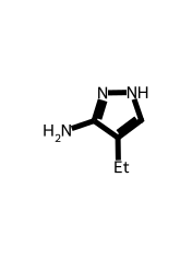 CCc1c[nH]nc1N